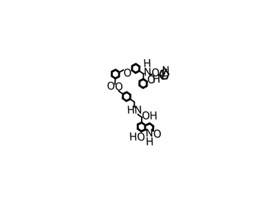 O=C(N[C@@H](c1ccccc1)c1cccc(OCc2cccc(C(=O)OCc3ccc(CCNC[C@H](O)c4ccc(O)c5[nH]c(=O)ccc45)cc3)c2)c1)O[C@H]1CN2CCC1CC2